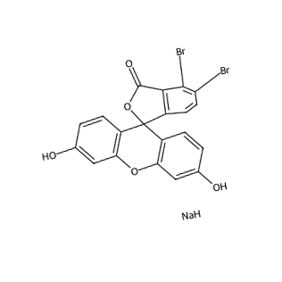 O=C1OC2(c3ccc(O)cc3Oc3cc(O)ccc32)c2ccc(Br)c(Br)c21.[NaH]